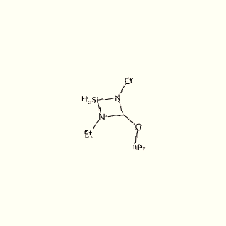 CCCOC1N(CC)[SiH2]N1CC